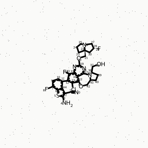 N#Cc1c(N)sc2c(F)ccc(-c3c(Cl)c4c5c(nc(OC[C@@]67CCCN6C[C@H](F)C7)nc5c3F)N3C(CO)CCC3CO4)c12